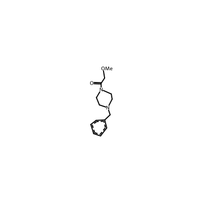 COCC(=O)N1CCN(Cc2ccccc2)CC1